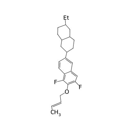 C/C=C/COc1c(F)cc2cc(C3CCC4CC(CC)CCC4C3)ccc2c1F